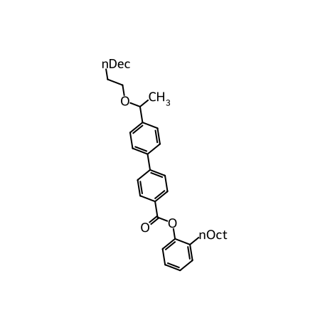 CCCCCCCCCCCCOC(C)c1ccc(-c2ccc(C(=O)Oc3ccccc3CCCCCCCC)cc2)cc1